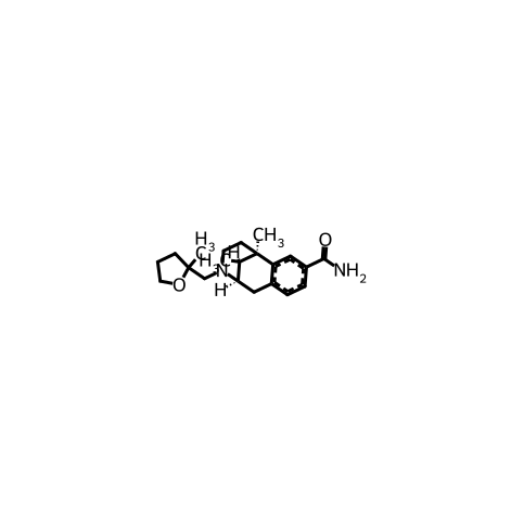 C[C@H]1[C@H]2Cc3ccc(C(N)=O)cc3[C@]1(C)CCN2CC1(C)CCCO1